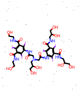 O=C(CN(CC(=O)Nc1c(I)c(C(=O)NCC(O)CO)c(I)c(C(=O)NCC(O)CO)c1I)CC(O)CO)Nc1c(I)c(C(=O)NCCO)c(I)c(C(=O)NCCO)c1I